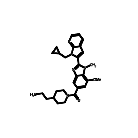 COc1cc(C(=O)N2CCC(CCN)CC2)cc2nc(-c3cc4cccnc4n3CC3CC3)n(C)c12